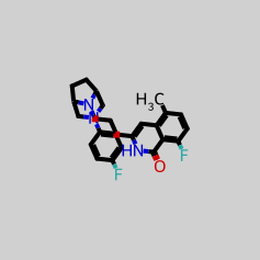 Cc1ccc(F)c2c(=O)[nH]c(CCCN3C4CCC3CN(c3ccc(F)cc3)C4)cc12